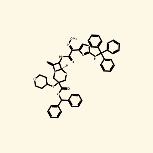 CON=C(C(=O)NC1C(=O)N2CC(SC3CCOCC3)(C(=O)OC(c3ccccc3)c3ccccc3)CS[C@H]12)c1csc(NC(c2ccccc2)(c2ccccc2)c2ccccc2)n1